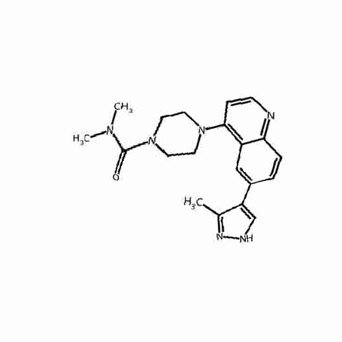 Cc1n[nH]cc1-c1ccc2nccc(N3CCN(C(=O)N(C)C)CC3)c2c1